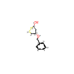 OC1C[C@H](OCc2ccccc2)CSS1